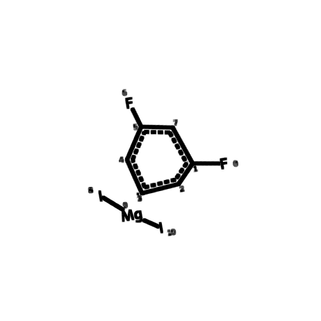 Fc1c[c]cc(F)c1.[I][Mg][I]